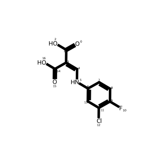 O=C(O)C(=CNc1ccc(F)c(Cl)c1)C(=O)O